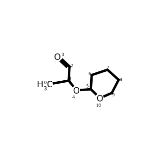 CC(C=O)OC1CCCCO1